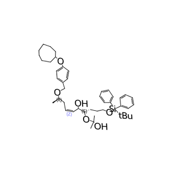 C[C@H](C/C=C\C(O)[C@H](CCCO[Si](c1ccccc1)(c1ccccc1)C(C)(C)C)OC(C)(C)O)OCc1ccc(OC2CCCCCCC2)cc1